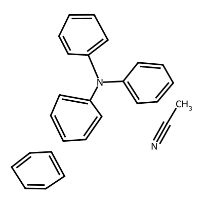 CC#N.c1ccc(N(c2ccccc2)c2ccccc2)cc1.c1ccccc1